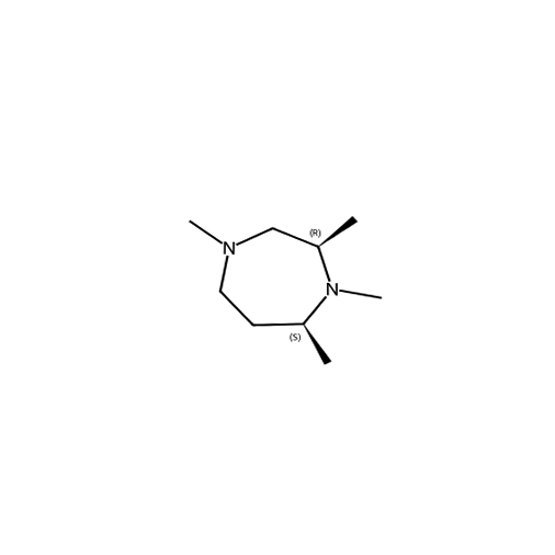 C[C@@H]1CN(C)CC[C@H](C)N1C